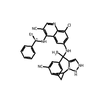 BC(Nc1cc(Cl)c2ncc(C#N)c(N[C@H](CC)c3ccccc3)c2c1)(C1=CNNN1C1CC1)c1cccc(C#N)c1